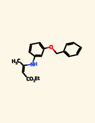 CCOC(=O)/C=C(/C)Nc1cccc(OCc2ccccc2)c1